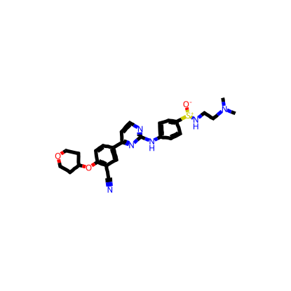 CN(C)CCN[S+]([O-])c1ccc(Nc2nccc(-c3ccc(OC4CCOCC4)c(C#N)c3)n2)cc1